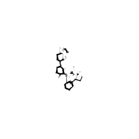 Cc1ccc(-c2ccc3nccn3c2)cc1NC(=O)N1OCCC1c1ccccc1